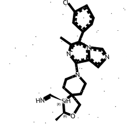 Cc1nc(N2CCC3(CC2)CO[C@@H](C)[Si@H]3C=N)c2cncn2c1-c1cccc(Cl)c1